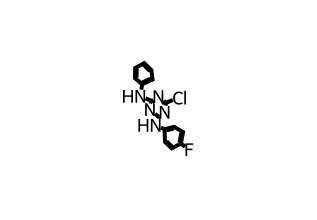 Fc1ccc(Nc2nc(Cl)nc(Nc3ccccc3)n2)cc1